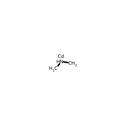 CNC.[Cd]